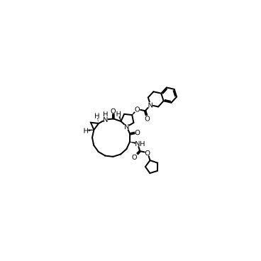 O=C(N[C@H]1CCCCCCC[C@@H]2C[C@H]2NC(=O)[C@@H]2C[C@@H](OC(=O)N3CCc4ccccc4C3)CN2C1=O)OC1CCCC1